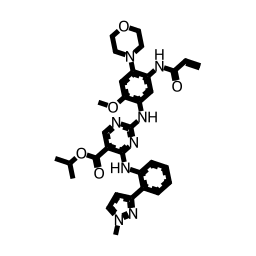 C=CC(=O)Nc1cc(Nc2ncc(C(=O)OC(C)C)c(Nc3ccccc3-c3ccn(C)n3)n2)c(OC)cc1N1CCOCC1